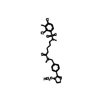 Cc1c(Cl)ccc(S(=O)(=O)N(C)CCCCC(=O)N(C)Cc2ccc(C3=NCCN3C(=O)O)cc2)c1Cl